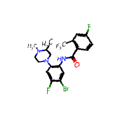 CC1CN(c2cc(F)c(Br)cc2NC(=O)c2ccc(F)cc2C(F)(F)F)CCN1C